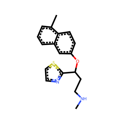 CNCCC(Oc1ccc2c(C)cccc2c1)c1nccs1